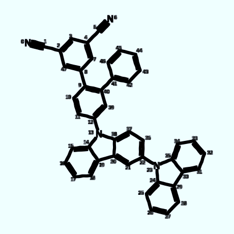 N#Cc1cc(C#N)cc(-c2ccc(-n3c4ccccc4c4cc(-n5c6ccccc6c6ccccc65)ccc43)cc2-c2ccccc2)c1